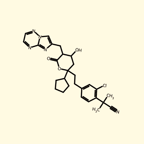 CC(C)(C#N)c1ccc(CCC2(C3CCCC3)CC(O)C(Cc3cn4nccnc4n3)C(=O)O2)cc1Cl